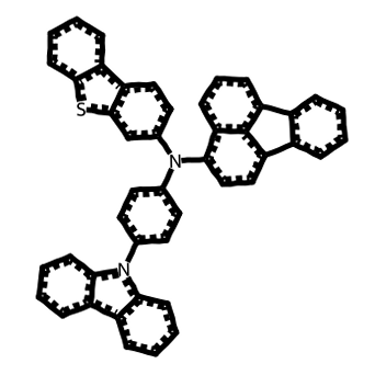 c1ccc2c(c1)-c1cccc3c(N(c4ccc(-n5c6ccccc6c6ccccc65)cc4)c4ccc5c(c4)sc4ccccc45)ccc-2c13